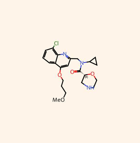 COCCCOc1cc(CN(C(=O)[C@H]2CNCCO2)C2CC2)nc2c(Cl)cccc12